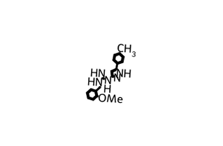 COc1ccccc1CNC(=N)Nc1cc(-c2ccc(C)cc2)[nH]n1